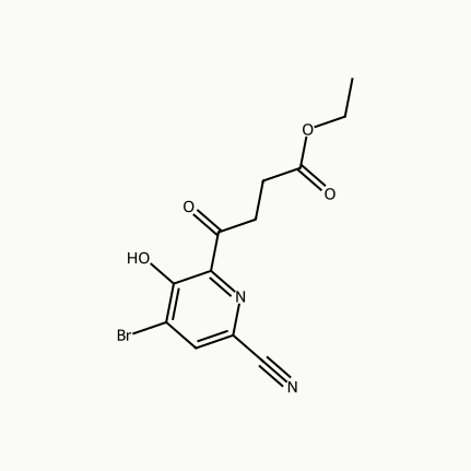 CCOC(=O)CCC(=O)c1nc(C#N)cc(Br)c1O